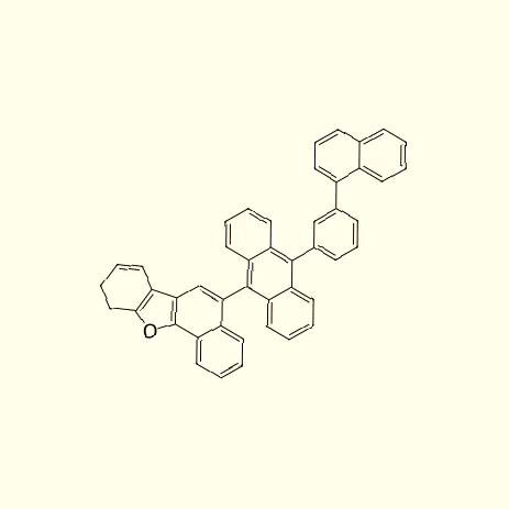 C1=Cc2c(oc3c2cc(-c2c4ccccc4c(-c4cccc(-c5cccc6ccccc56)c4)c4ccccc24)c2ccccc23)CC1